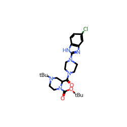 CC(C)(C)OC(=O)N1CCN(C(C)(C)C)CC1C(=O)N1CCN(c2nc3cc(Cl)ccc3[nH]2)CC1